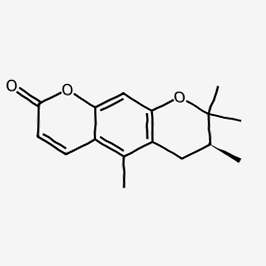 Cc1c2c(cc3oc(=O)ccc13)OC(C)(C)[C@@H](C)C2